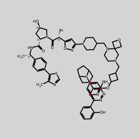 Cc1ncsc1-c1ccc([C@H](C)NC(=O)[C@@H]2C[C@@H](O)CN2C(=O)[C@@H](c2cc(N3CCC(CN4CCN(CC5CC(Oc6cc(N7C8CCC7CN(c7cc(-c9ccccc9O)nnc7N)C8)ccn6)C5)CC45COC5)CC3)no2)C(C)C)cc1